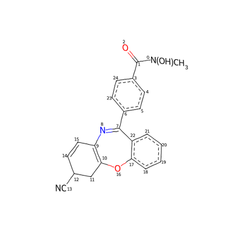 CN(O)C(=O)c1ccc(C2=NC3=C(CC(C#N)C=C3)Oc3ccccc32)cc1